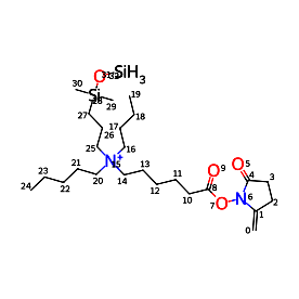 C=C1CCC(=O)N1OC(=O)CCCCC[N+](CCCC)(CCCCC)CCC[Si](C)(C)O[SiH3]